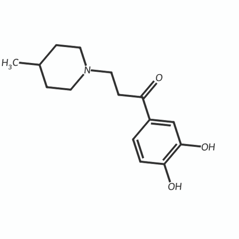 CC1CCN(CCC(=O)c2ccc(O)c(O)c2)CC1